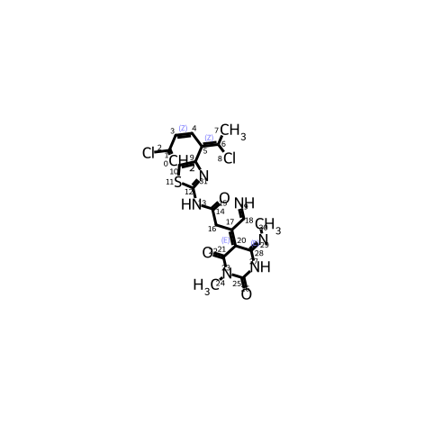 C=C(Cl)/C=C\C(=C(/C)Cl)c1csc(NC(=O)C/C(C=N)=C2\C(=O)N(C)C(=O)N\C2=N\C)n1